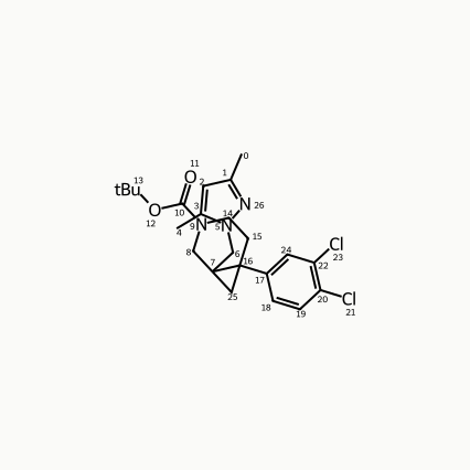 Cc1cc(C)n(CC23CN(C(=O)OC(C)(C)C)CCC2(c2ccc(Cl)c(Cl)c2)C3)n1